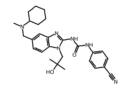 CN(Cc1ccc2c(c1)nc(NC(=O)Nc1ccc(C#N)cc1)n2CC(C)(C)O)C1CCCCC1